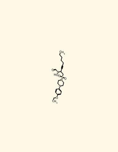 CCCCCC#CC(CS(=O)(=O)N1CCN(c2ccc(OCC)cc2)CC1)N(O)C=O